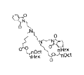 CCCCCCCCC(CCCCCC)COC(=O)CCCCCN(CCCCN(CCCCCC(=O)OCC(CCCCCC)CCCCCCCC)CCCN1C(=O)c2ccccc2C1=O)CCCN1C(=O)c2ccccc2C1=O